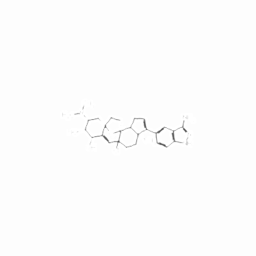 CN(C)[C@H]1C[C@@]23CC[C@]4(O2)C2CC=C(c5ccc6[nH]nc(N)c6c5)[C@@]2(C)CCC4(Cl)C=C3[C@@H](O)[C@@H]1O